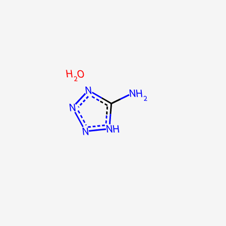 Nc1nnn[nH]1.O